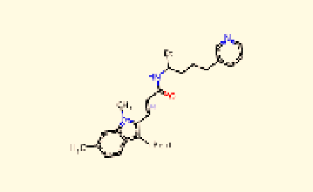 CCCCCc1c(/C=C/C(=O)NC(CC)CCCc2cccnc2)n(C)c2cc(C)ccc12